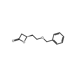 O=C1C[C@@H](CCOCc2ccccc2)O1